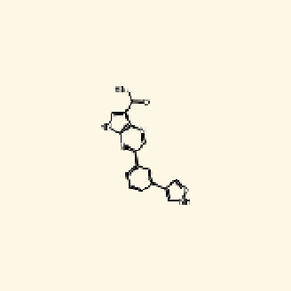 CC(C)(C)C(=O)c1c[nH]c2nc(-c3cccc(-c4cn[nH]c4)c3)cnc12